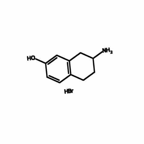 Br.NC1CCc2ccc(O)cc2C1